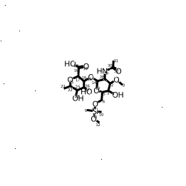 COC1C(O)C(CO[Si](C)(C)OC)OC(OC2C(C(=O)O)OC(C)C(O)C2O)C1NC(C)=O